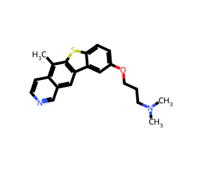 Cc1c2ccncc2cc2c1sc1ccc(OCCCN(C)C)cc12